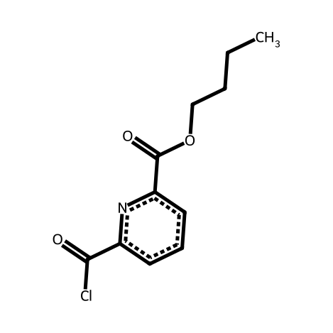 CCCCOC(=O)c1cccc(C(=O)Cl)n1